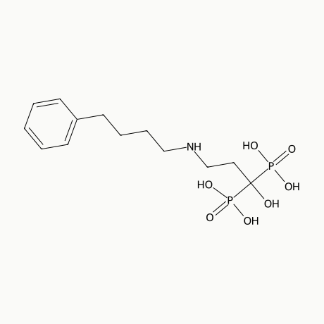 O=P(O)(O)C(O)(CCNCCCCc1ccccc1)P(=O)(O)O